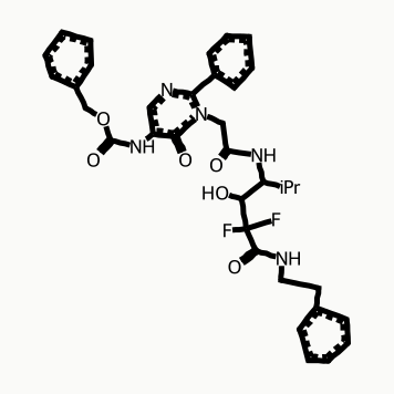 CC(C)C(NC(=O)Cn1c(-c2ccccc2)ncc(NC(=O)OCc2ccccc2)c1=O)C(O)C(F)(F)C(=O)NCCc1ccccc1